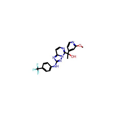 COc1cc(C(C)(O)c2nccc3nc(Nc4ccc(C(F)(F)F)cc4)nn23)ccn1